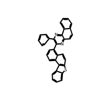 c1ccc(-c2nc3c(ccc4ccccc43)nc2-c2cccc3c2ccc2sc4ccccc4c23)cc1